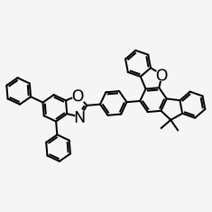 CC1(C)c2ccccc2-c2c1cc(-c1ccc(-c3nc4c(-c5ccccc5)cc(-c5ccccc5)cc4o3)cc1)c1c2oc2ccccc21